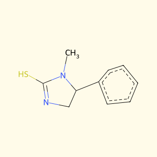 CN1C(S)=NCC1c1ccccc1